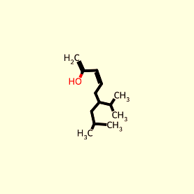 C=C(O)/C=C\CC(CC(C)C)C(C)C